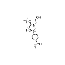 COC(=O)c1ccc([C@@H](O)CN(CCO)C(=O)OC(C)(C)C)cc1